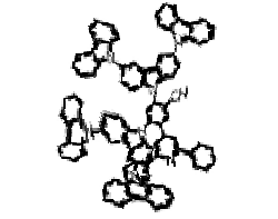 N#Cc1cc(-c2cc(-c3ccccc3)nc(-c3ccccc3)c2)c(-n2c3ccc(-n4c5ccccc5c5ccccc54)cc3c3cc(-n4c5ccccc5c5ccccc54)ccc32)cc1-n1c2ccc(-n3c4ccccc4c4ccccc43)cc2c2cc(-n3c4ccccc4c4ccccc43)ccc21